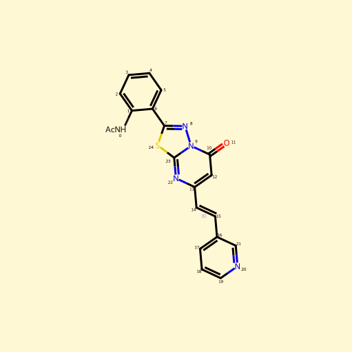 CC(=O)Nc1ccccc1-c1nn2c(=O)cc(/C=C/c3cccnc3)nc2s1